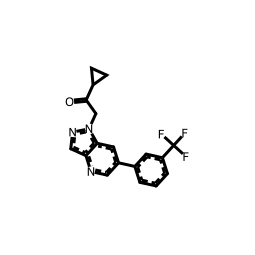 O=C(Cn1ncc2ncc(-c3cccc(C(F)(F)F)c3)cc21)C1CC1